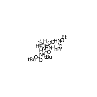 CCCC(NC(=O)[C@@H]1[C@@H]2[C@H](CN1C(=O)[C@@H](NC(=O)OC(C)(C)C)C(C)(C)C)C2(C)C)C(=O)C(=O)NOCC